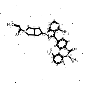 C=CC(=O)N1CC2CC(n3nc(-c4ccc(C(=O)N(C)c5cc(C)ccn5)cc4)c4c(N)ncnc43)CC2C1